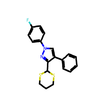 Fc1ccc(-n2cc(-c3ccccc3)c(C3SCCCS3)n2)cc1